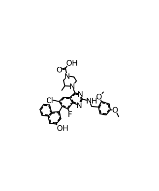 COc1ccc(CNc2nc(N3CCN(C(=O)O)CC3C)c3cc(Cl)c(-c4cc(O)cc5ccccc45)c(F)c3n2)c(OC)c1